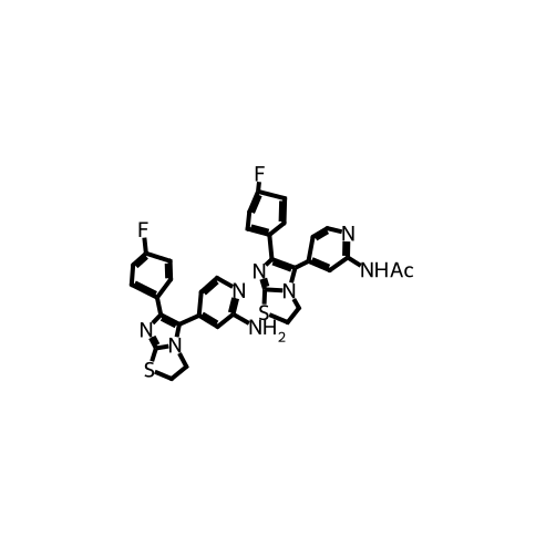 CC(=O)Nc1cc(-c2c(-c3ccc(F)cc3)nc3n2CCS3)ccn1.Nc1cc(-c2c(-c3ccc(F)cc3)nc3n2CCS3)ccn1